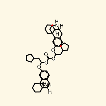 O=C(OC(CC1CCCC1)Oc1ccc2c(c1)[C@@]13CCCC[C@H]1[C@@H](C2)NCC3)OC(CC1CCCC1)Oc1ccc2c(c1)[C@@]13CCCC[C@H]1[C@@H](C2)NCC3